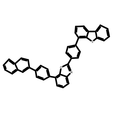 c1ccc2cc(-c3ccc(-c4cccc5nc(-c6ccc(-c7cccc8c7sc7ccccc78)cc6)oc45)cc3)ccc2c1